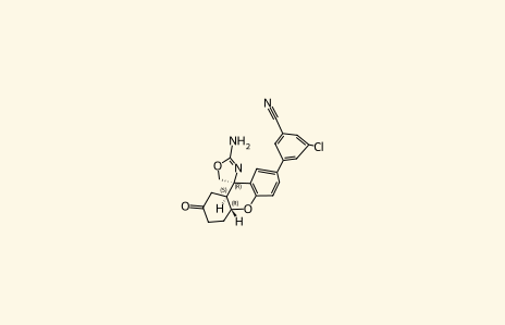 N#Cc1cc(Cl)cc(-c2ccc3c(c2)[C@@]2(COC(N)=N2)[C@@H]2CC(=O)CC[C@H]2O3)c1